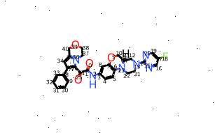 O=C(Nc1ccc2c(c1)OC[C@@H]1CN(c3ncc(F)cn3)CCN21)C(=O)c1c(-c2ccccc2)cc2n1CCOC2